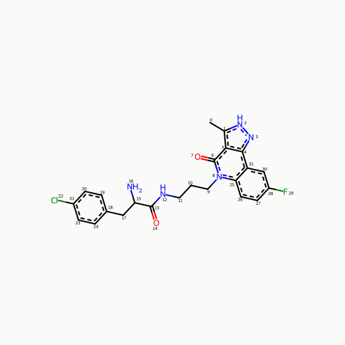 Cc1[nH]nc2c1c(=O)n(CCCNC(=O)C(N)Cc1ccc(Cl)cc1)c1ccc(F)cc21